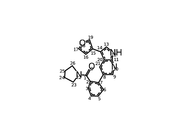 O=C(c1ccccc1-c1cnc2[nH]cc(-c3ccoc3)c2c1)N1CCCC1